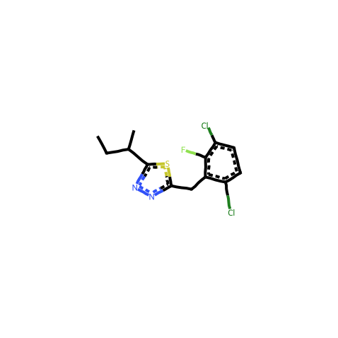 CCC(C)c1nnc(Cc2c(Cl)ccc(Cl)c2F)s1